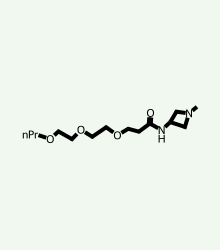 CCCOCCOCCOCCC(=O)NC1CN(C)C1